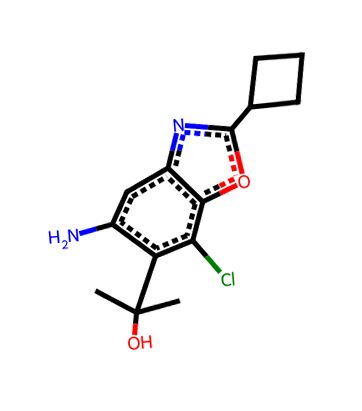 CC(C)(O)c1c(N)cc2nc(C3CCC3)oc2c1Cl